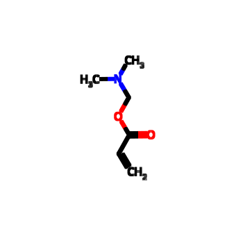 C=CC(=O)OCN(C)C